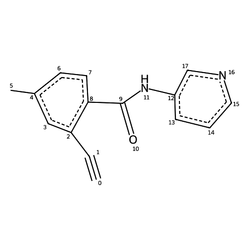 C#Cc1cc(C)ccc1C(=O)Nc1cccnc1